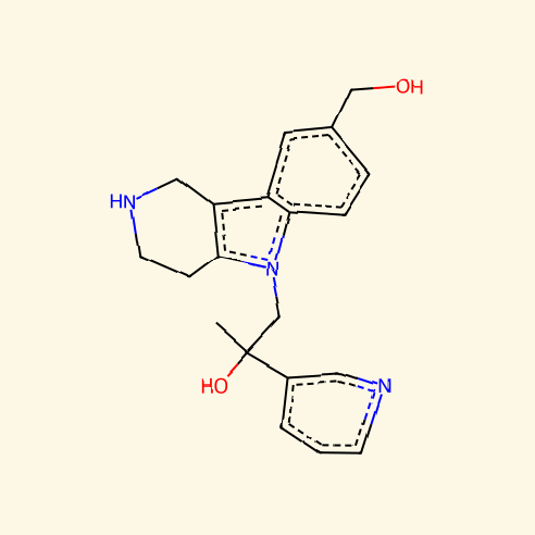 CC(O)(Cn1c2c(c3cc(CO)ccc31)CNCC2)c1cccnc1